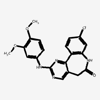 COc1ccc(Nc2ncc3c(n2)-c2ccc(Cl)cc2NC(=O)C3)cc1OC